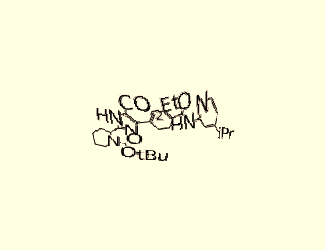 CCOC(=O)c1[nH]c([C@@H]2CCCCN2C(=O)OC(C)(C)C)nc1-c1ccc(C(=O)Nc2cc(C(C)C)ccn2)cc1